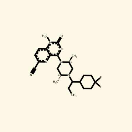 CCC(C1CCC(F)(F)CC1)N1C[C@H](C)N(c2nc(=O)n(C)c3ccc(C#N)nc23)C[C@H]1C